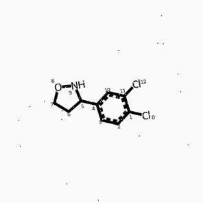 Clc1ccc(C2CCON2)cc1Cl